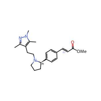 COC(=O)/C=C/c1ccc([C@H]2CCCN2CCc2c(C)nn(C)c2C)cc1